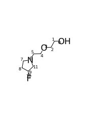 OCCOCCN1CC[C@H](F)C1